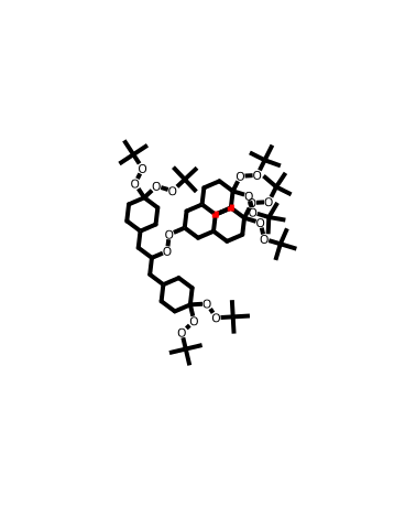 CC(C)(C)OOC1(OOC(C)(C)C)CCC(CC(CC2CCC(OOC(C)(C)C)(OOC(C)(C)C)CC2)OOC(CC2CCC(OOC(C)(C)C)(OOC(C)(C)C)CC2)CC2CCC(OOC(C)(C)C)(OOC(C)(C)C)CC2)CC1